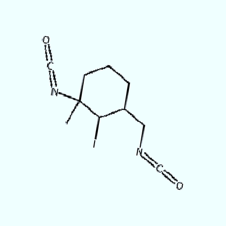 CC1(N=C=O)CCCC(CN=C=O)C1I